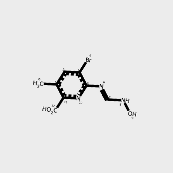 Cc1cc(Br)c(N=CNO)nc1C(=O)O